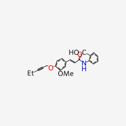 CCC#CCOc1ccc(C=CC(=O)Nc2ccccc2C(=O)O)cc1OC